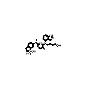 OCCCCN(c1nc(Nc2ccc3c(c2)S(O)(O)CC3)ncc1F)c1cccc2[nH]ncc12